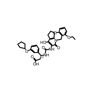 CCOc1cccc(Cl)c1Cn1c2c(c(O)c(NC(=O)N[C@@H](CC(=O)O)c3cccc(OC4CCCC4)c3)c1=O)CCC2